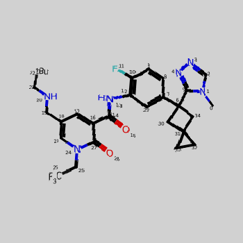 Cn1cnnc1C1(c2ccc(F)c(NC(=O)c3cc(CNCC(C)(C)C)cn(CC(F)(F)F)c3=O)c2)CC2(CC2)C1